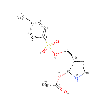 Cc1ccc(S(=O)(=O)OC[C@H]2CCN[C@@H]2OC(=O)C(C)(C)C)cc1